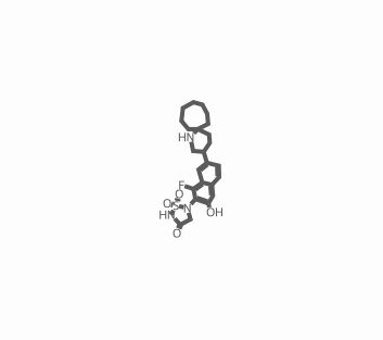 O=C1CN(c2c(O)cc3ccc(C4CCC5(CCCCCCC5)NC4)cc3c2F)S(=O)(=O)N1